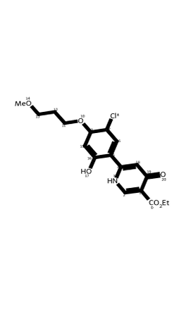 CCOC(=O)c1c[nH]c(C2=CC(Cl)C(OCCCOC)C=C2O)cc1=O